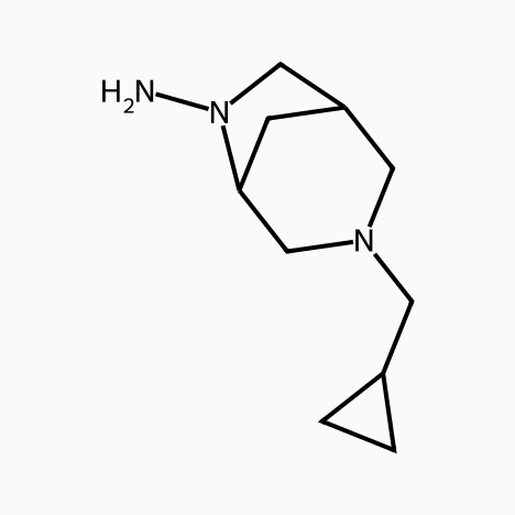 NN1CC2CC1CN(CC1CC1)C2